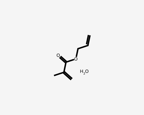 C=CCOC(=O)C(=C)C.O